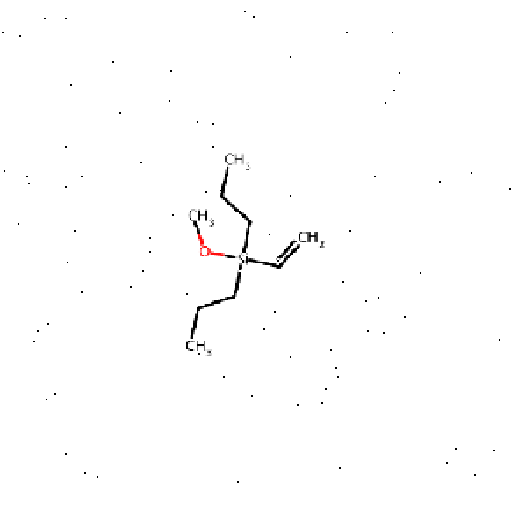 C=C[Si](CCC)(CCC)OC